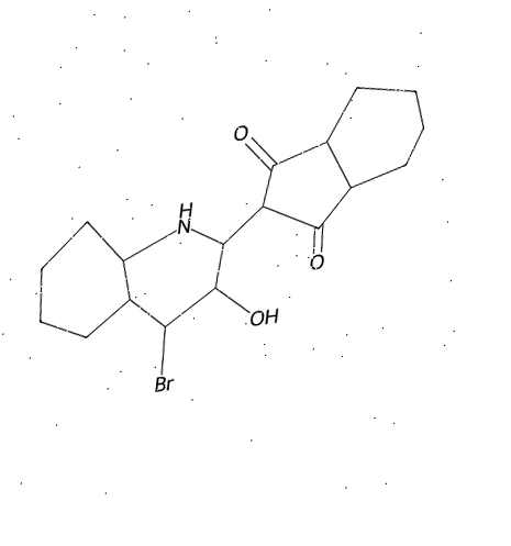 O=C1C2CCCCC2C(=O)C1C1NC2CCCCC2C(Br)C1O